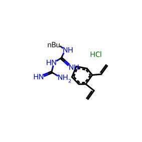 C=Cc1ccccc1C=C.CCCCNC(=N)NC(=N)N.Cl